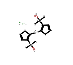 C[Si](C)(Br)C1=[C]([Zr+2][C]2=C([Si](C)(C)Br)C=CC2)CC=C1.[Cl-].[Cl-]